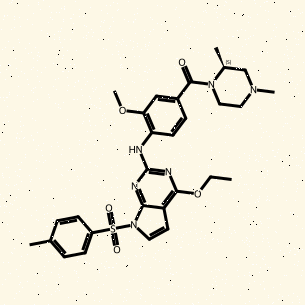 CCOc1nc(Nc2ccc(C(=O)N3CCN(C)C[C@@H]3C)cc2OC)nc2c1ccn2S(=O)(=O)c1ccc(C)cc1